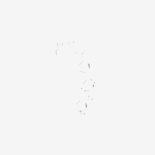 CCOC(=O)CC1(CC(F)(F)F)CCc2cc(-c3cnc(Nc4ccc(C)nc4)cn3)ccc2C1=O